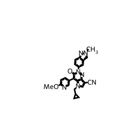 COc1ccc(-c2c(=O)n(-c3ccc4nn(C)cc4c3)nc3c(C#N)cn(CC4CC4)c23)cn1